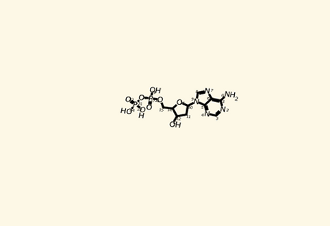 Nc1ncnc2c1ncn2C1CC(O)C(COP(=O)(O)OP(=O)(O)O)O1